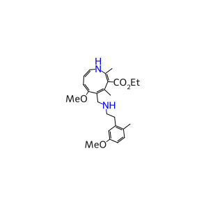 CCOC(=O)c1c(C)[nH]cccc(OC)c(CNCCc2cc(OC)ccc2C)c1C